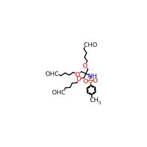 Cc1ccc(S(=O)(=O)NC(COCCCCC=O)(COCCCCC=O)COCCCCC=O)cc1